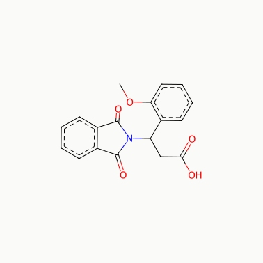 COc1ccccc1C(CC(=O)O)N1C(=O)c2ccccc2C1=O